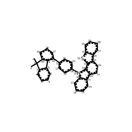 CC1(C)c2ccccc2-c2c(-c3ccc(-n4c5ccccc5c5ccc6c7ccccc7sc6c54)cc3)cccc21